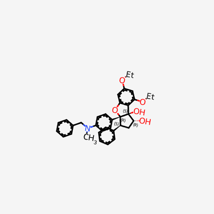 CCOc1cc(OCC)c2c(c1)O[C@@]1(c3ccc(N(C)Cc4ccccc4)cc3)[C@H](c3ccccc3)C[C@@H](O)[C@@]21O